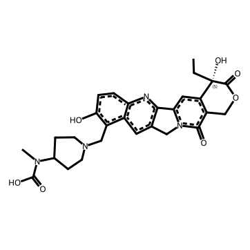 CC[C@@]1(O)C(=O)OCc2c1cc1n(c2=O)Cc2cc3c(CN4CCC(N(C)C(=O)O)CC4)c(O)ccc3nc2-1